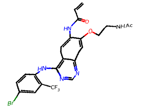 C=CC(=O)Nc1cc2c(Nc3ccc(Br)cc3C(F)(F)F)ncnc2cc1OCCNC(C)=O